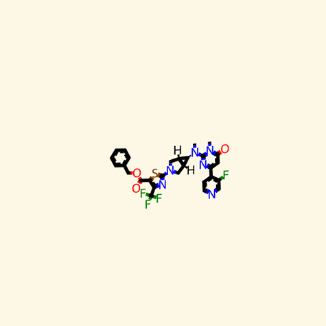 CN(c1nc(-c2ccncc2F)cc(=O)n1C)[C@@H]1[C@@H]2CN(c3nc(C(F)(F)F)c(C(=O)OCc4ccccc4)s3)C[C@@H]21